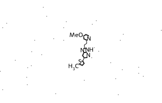 COc1ccnc(CCc2nc3cc(-c4ccc(C)s4)cnc3[nH]2)c1